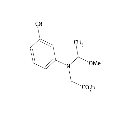 COC(C)N(CC(=O)O)c1cccc(C#N)c1